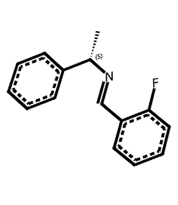 C[C@H](N=Cc1ccccc1F)c1ccccc1